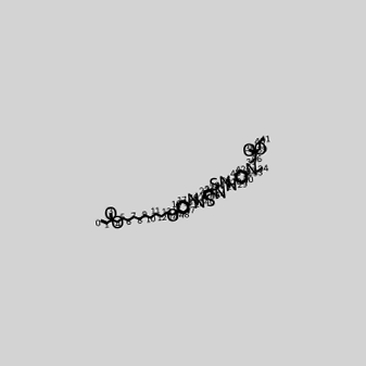 C=CC(=O)OCCCCCCCCCOc1ccc(N=Nc2cc3sc(N=Nc4ccc(N(CC)CCC(=O)OCC)cc4)nc3s2)cc1